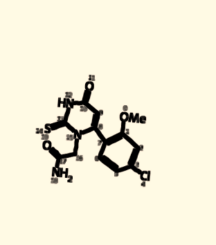 COc1cc(Cl)ccc1-c1cc(=O)[nH]c(=S)n1CC(N)=O